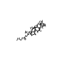 CC(=O)CCC[C@H]1CCC2C3CC=C4C[C@@](C)(O)CC[C@]4(C)C3CC[C@@]21C